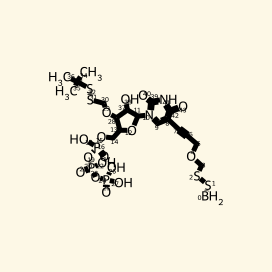 BSSCOCC#Cc1cn(C2OC(COP(=O)(O)OP(=O)(O)OP(=O)(O)O)C(OCSSC(C)(C)C)C2O)c(=O)[nH]c1=O